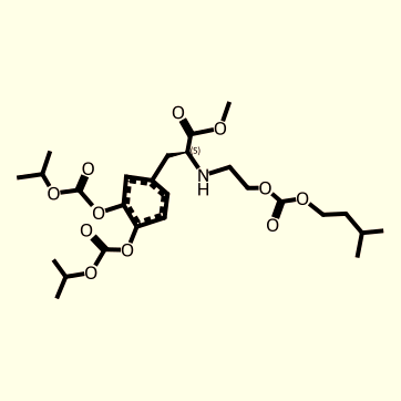 COC(=O)[C@H](Cc1ccc(OC(=O)OC(C)C)c(OC(=O)OC(C)C)c1)NCCOC(=O)OCCC(C)C